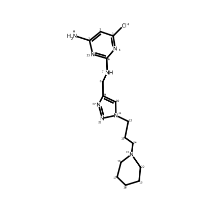 Nc1cc(Cl)nc(NCc2cn(CCCN3CCCCC3)nn2)n1